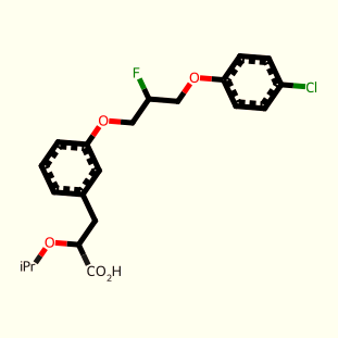 CC(C)OC(Cc1cccc(OCC(F)COc2ccc(Cl)cc2)c1)C(=O)O